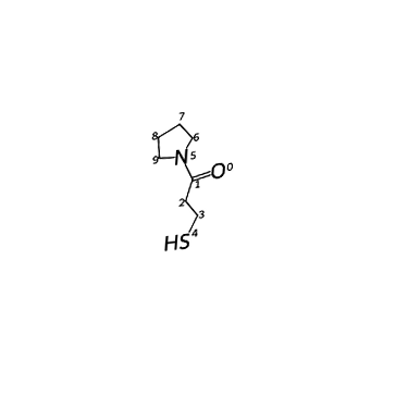 O=C(CCS)N1CCCC1